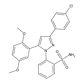 COc1ccc(OC)c(-c2cc(-c3ccc(Cl)cc3)nn2-c2ccccc2S(N)(=O)=O)c1